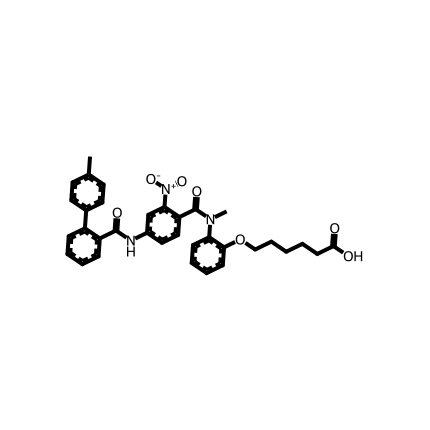 Cc1ccc(-c2ccccc2C(=O)Nc2ccc(C(=O)N(C)c3ccccc3OCCCCCC(=O)O)c([N+](=O)[O-])c2)cc1